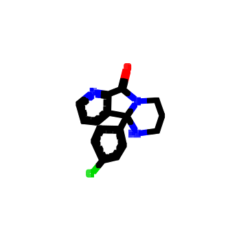 O=C1c2ncccc2C2(c3ccc(Cl)cc3)NCCCN12